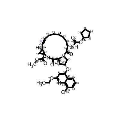 CCOc1cc(O[C@@H]2C[C@H]3C(=O)N[C@]4(C(=O)OC)C[C@H]4/C=C\CCCCC[C@H](NC(=O)OC4CCCC4)C(=O)N3C2)c2cccc(Cl)c2n1